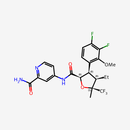 CC[C@@H]1[C@H](c2ccc(F)c(F)c2OC)[C@H](C(=O)Nc2ccnc(C(N)=O)c2)O[C@]1(C)C(F)(F)F